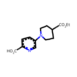 CCOC(=O)C1CCN(c2ccc(C(=O)O)nc2)CC1